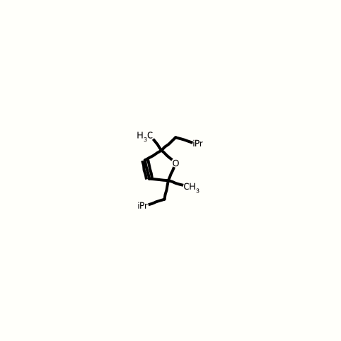 CC(C)CC1(C)C#CC(C)(CC(C)C)O1